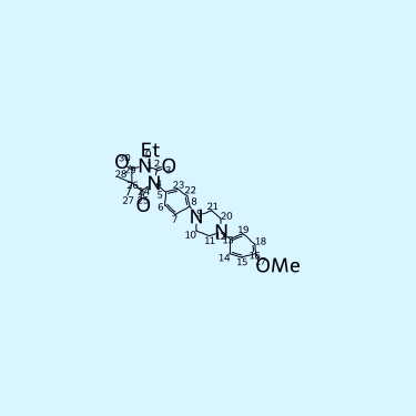 CCN1C(=O)N(c2ccc(N3CCN(c4ccc(OC)cc4)CC3)cc2)C(=O)C(C)(C)C1=O